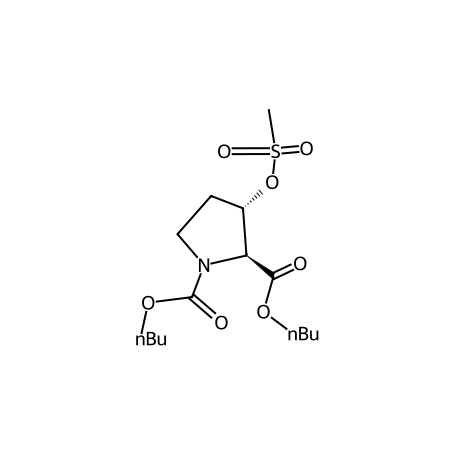 CCCCOC(=O)[C@@H]1[C@@H](OS(C)(=O)=O)CCN1C(=O)OCCCC